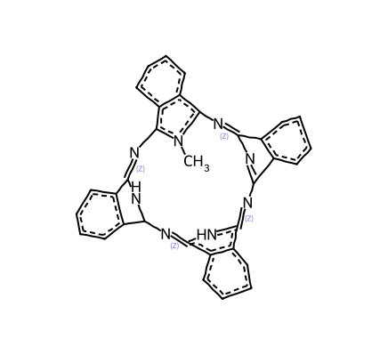 Cn1c2c3ccccc3c1/N=C1\NC(/N=c3\[nH]/c(c4ccccc34)=N\C3=NC(=N\2)/c2ccccc23)c2ccccc21